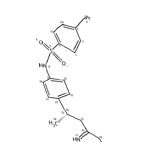 CC(C)c1ccc(S(=O)(=O)Nc2ccc([C@@H](C)CC(=N)CCF)cc2)cc1